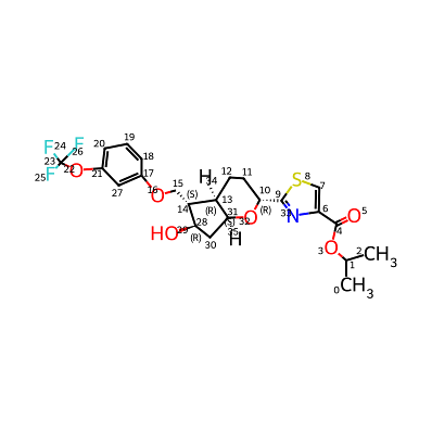 CC(C)OC(=O)c1csc([C@H]2CC[C@@H]3[C@@H](COc4cccc(OC(F)(F)F)c4)[C@H](O)C[C@@H]3O2)n1